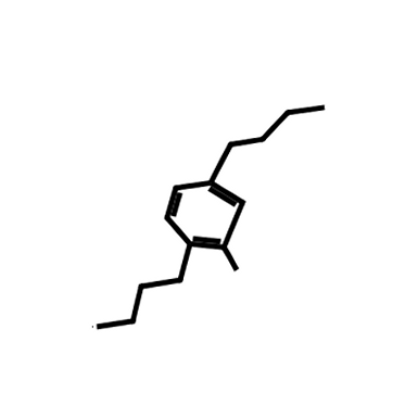 [CH2]CCCc1ccc(CCCC)cc1C